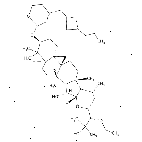 CCCN1CC(CN2CCO[C@@H](O[C@H]3CC[C@]45C[C@]46CC[C@]4(C)[C@@H]7[C@H](O[C@@H]([C@H](OCC)C(C)(C)O)C[C@H]7C)[C@H](O)[C@@]4(C)[C@@H]6CC[C@H]5C3(C)C)C2)C1